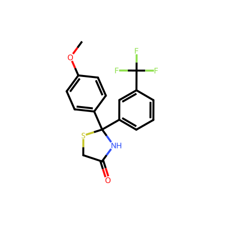 COc1ccc(C2(c3cccc(C(F)(F)F)c3)NC(=O)CS2)cc1